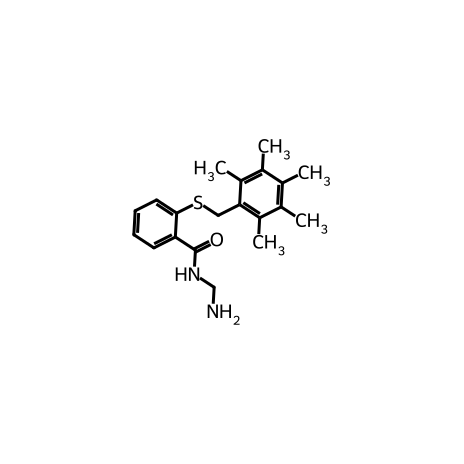 Cc1c(C)c(C)c(CSc2ccccc2C(=O)NCN)c(C)c1C